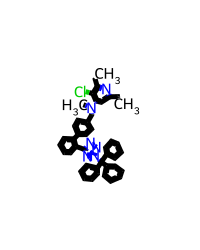 CCc1cc(N(C)Cc2ccc(-c3ccccc3-c3nnn(C(c4ccccc4)(c4ccccc4)c4ccccc4)n3)cc2)c(Cl)c(CC)n1